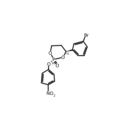 O=[N+]([O-])c1ccc(O[P@]2(=O)OCC[C@@H](c3cccc(Br)c3)O2)cc1